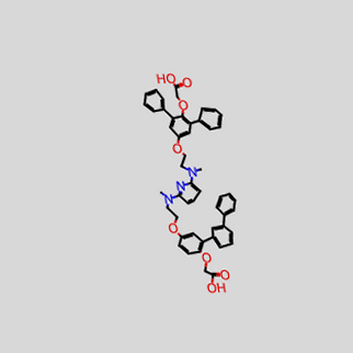 CN(CCOc1ccc(OCC(=O)O)c(-c2cccc(-c3ccccc3)c2)c1)c1cccc(N(C)CCOc2cc(-c3ccccc3)c(OCC(=O)O)c(-c3ccccc3)c2)n1